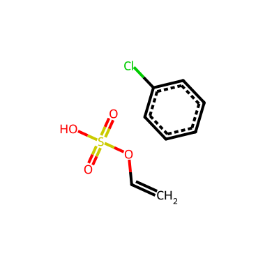 C=COS(=O)(=O)O.Clc1ccccc1